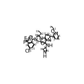 CCOc1ncccc1-c1ccc(N2CCN(C(=O)c3ccc(Cl)cc3C(F)(F)F)C[C@H]2CC)c(C(=O)NC2CNC2)n1